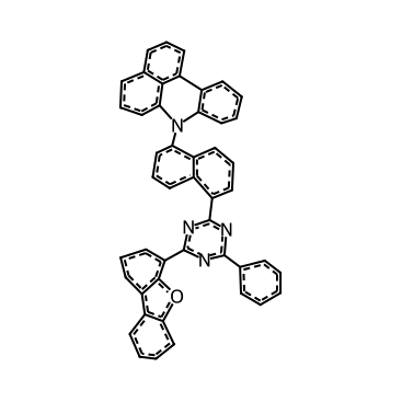 c1ccc(-c2nc(-c3cccc4c(N5c6ccccc6-c6cccc7cccc5c67)cccc34)nc(-c3cccc4c3oc3ccccc34)n2)cc1